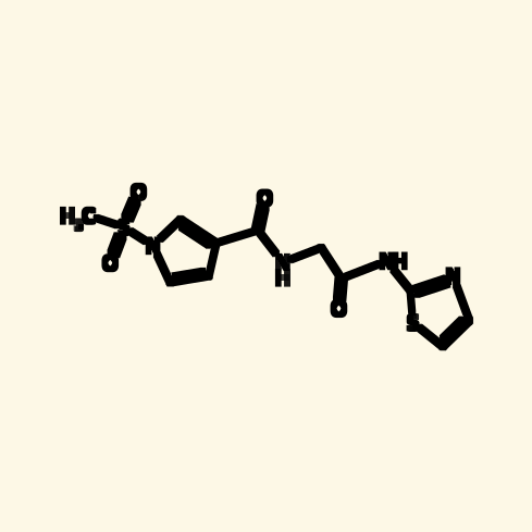 CS(=O)(=O)n1ccc(C(=O)NCC(=O)Nc2nccs2)c1